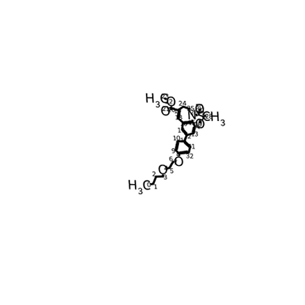 CCCCOCCOc1ccc(-c2ccc3c(c2)C=C(C(=O)OC)CCN3S(C)(=O)=O)cc1